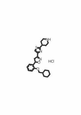 Cl.c1ccc(C2CC(c3csc(C4CCNCC4)n3)=NO2)c(OCC2CCCCC2)c1